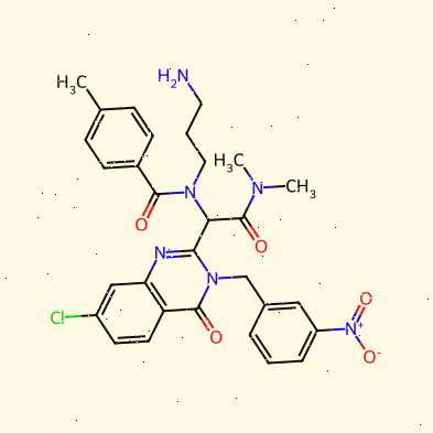 Cc1ccc(C(=O)N(CCCN)C(C(=O)N(C)C)c2nc3cc(Cl)ccc3c(=O)n2Cc2cccc([N+](=O)[O-])c2)cc1